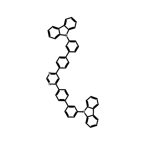 c1cc(-c2ccc(-c3cc(-c4ccc(-c5cccc(-n6c7ccccc7c7ccccc76)c5)cc4)ncn3)cc2)cc(-n2c3ccccc3c3ccccc32)c1